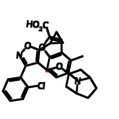 Cc1c(N2C3CCC2CC(OCc2c(-c4ccccc4Cl)noc2C2CC2)C3)ccc2oc(C(=O)O)cc12